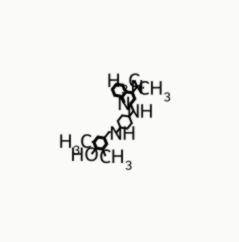 Cc1cc(CNC2CCC(Nc3cc(N(C)C)c4ccccc4n3)CC2)cc(C)c1O